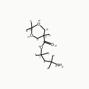 CC(C)(N)CC(C)(C)OC(=O)C1(C)COC(C)(C)OC1